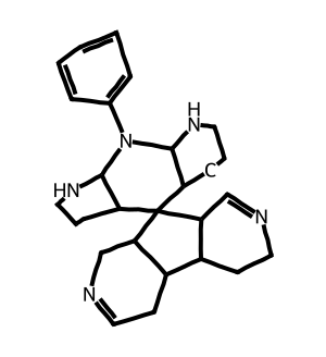 C1=NCCC2C3CC=NCC3C3(C12)C1CCCNC1N(c1ccccc1)C1NCCCC13